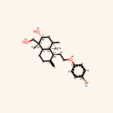 C=C1CCC2[C@@H](C(C)C[C@@H](O)[C@@]2(C)CO)[C@H]1CCOc1ccc(Br)cc1